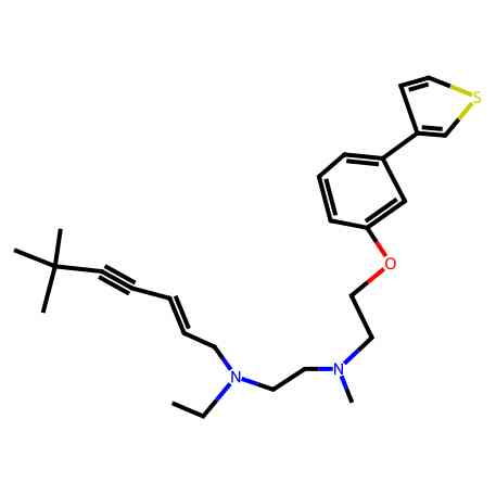 CCN(C/C=C/C#CC(C)(C)C)CCN(C)CCOc1cccc(-c2ccsc2)c1